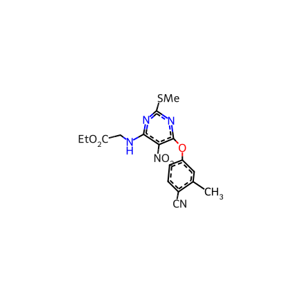 CCOC(=O)CNc1nc(SC)nc(Oc2ccc(C#N)c(C)c2)c1[N+](=O)[O-]